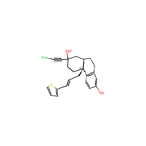 Oc1ccc2c(c1)CCC1CC(O)(C#CCl)CC[C@@]21CC=Cc1cccs1